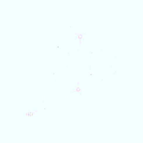 COc1c(C)c(CCCCO)c(OC)c2ccccc12